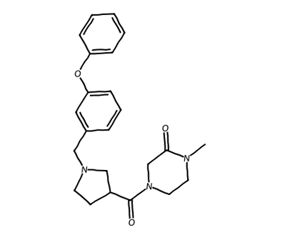 CN1CCN(C(=O)C2CCN(Cc3cccc(Oc4ccccc4)c3)C2)CC1=O